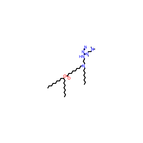 CCCCCCCCC(CCCCCCCC)OC(=O)CCCCCCCN(CCCCCCCC)CCCN/C(=N/C#N)N(C)CCN(C)C